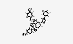 CC(C)c1ccc(S(=O)(=O)N2CCN(c3nc(-c4ccccc4)cs3)CC2C(=O)NCc2ccc(C(F)(F)F)cc2)cc1